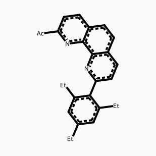 CCc1cc(CC)c(-c2ccc3ccc4ccc(C(C)=O)nc4c3n2)c(CC)c1